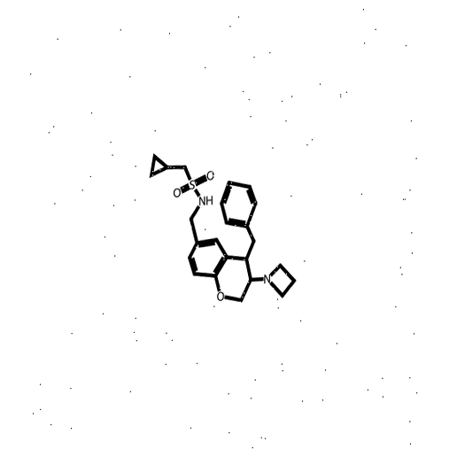 O=S(=O)(CC1CC1)NCc1ccc2c(c1)C(Cc1ccccc1)C(N1CCC1)CO2